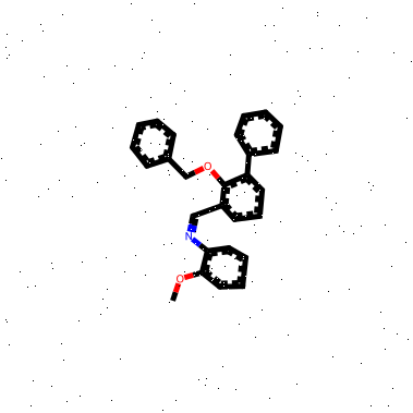 COc1ccccc1/N=C\c1cccc(-c2ccccc2)c1OCc1ccccc1